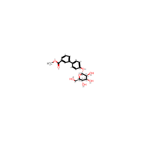 COC(=O)c1cccc(-c2ccc(O[C@H]3O[C@H](CO)[C@@H](O)[C@H](O)[C@@H]3O)cc2)c1